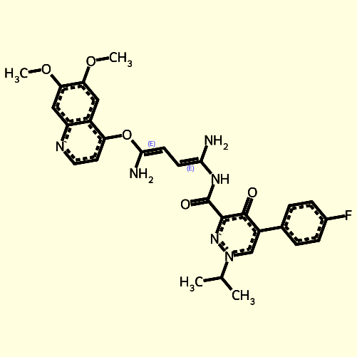 COc1cc2nccc(O/C(N)=C/C=C(\N)NC(=O)c3nn(C(C)C)cc(-c4ccc(F)cc4)c3=O)c2cc1OC